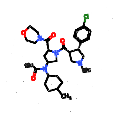 CC1CCC(N(C(=O)C(C)(C)C)[C@H]2C[C@@H](C(=O)N3CCOCC3)N(C(=O)[C@@H]3CN(C(C)(C)C)C[C@H]3c3ccc(Cl)cc3)C2)CC1